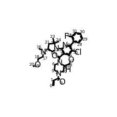 C=CC(=O)N1CCN2C(=O)c3c(N4C[C@@H](N(C)CCOC)CC4(C)C)nc(-c4ccccc4F)c(Cl)c3OC[C@H]2C1